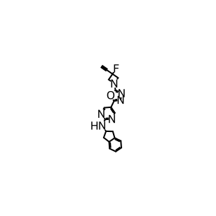 C#CC1(F)CN(c2nnc(-c3cnc(NC4Cc5ccccc5C4)nc3)o2)C1